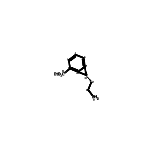 BCC[C@H]1c2cccc(C(=O)OCC)c21